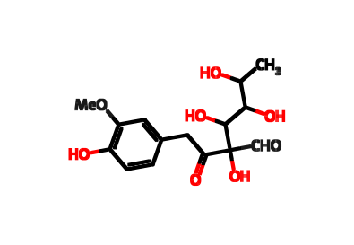 COc1cc(CC(=O)C(O)(C=O)C(O)C(O)C(C)O)ccc1O